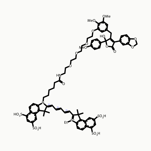 CC[N+]1=C(/C=C/C=C/C=C2/N(CCCCCC(=O)NCCOCCOCCOCCOc3cc(CC4=C(c5ccc6c(c5)OCO6)C(=O)OC4(O)c4ccc(OC)cc4)cc(OC)c3OC)c3ccc4c(S(=O)(=O)O)cc(S(=O)(=O)O)cc4c3C2(C)C)C(C)(C)c2c1ccc1c(S(=O)(=O)O)cc(S(=O)(=O)O)cc21